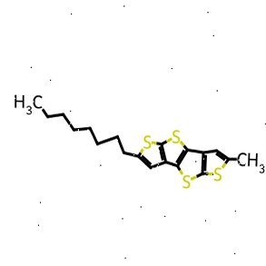 CCCCCCCCc1cc2c(s1)sc1c3cc(C)sc3sc21